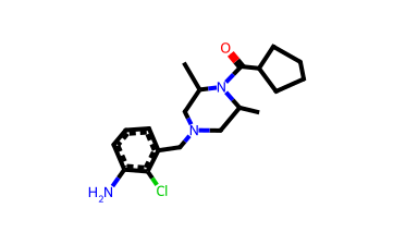 CC1CN(Cc2cccc(N)c2Cl)CC(C)N1C(=O)C1CCCC1